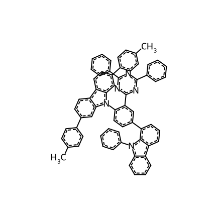 Cc1ccc(-c2ccc3c4ccc(-c5ccc(C)cc5)cc4n(-c4ccc(-c5cccc6c7ccccc7n(-c7ccccc7)c56)cc4-c4nc(-c5ccccc5)nc(-c5ccccc5)n4)c3c2)cc1